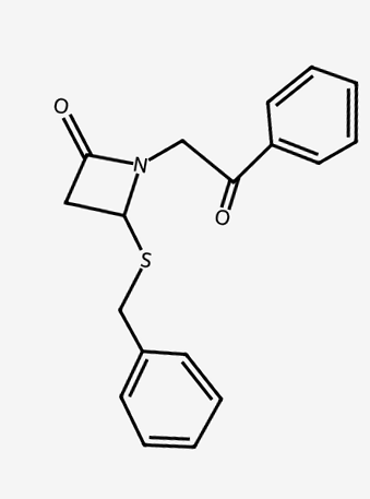 O=C(CN1C(=O)CC1SCc1ccccc1)c1ccccc1